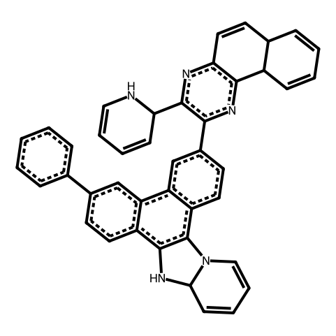 C1=CNC(c2nc3c(nc2-c2ccc4c5c(c6ccc(-c7ccccc7)cc6c4c2)NC2C=CC=CN52)C2C=CC=CC2C=C3)C=C1